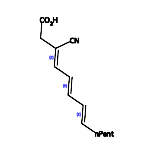 CCCCC/C=C/C=C/C=C(\C#N)CC(=O)O